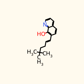 CC(C)(C)CCC=Cc1ccc2cccnc2c1O